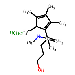 CC1=C(C)C(C)[C]([Ti]([CH3])(=[SiH2])([CH2]CCO)[NH]C(C)(C)C)=C1C.Cl.Cl